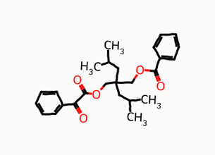 CC(C)CC(COC(=O)C(=O)c1ccccc1)(COC(=O)c1ccccc1)CC(C)C